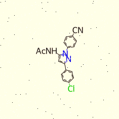 CC(=O)Nc1cc(-c2ccc(Cl)cc2)nn1-c1ccc(C#N)cc1